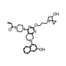 C=CC(=O)N1CCN(c2nc(OCCCN3CC(O)C34CC4)nc3c2CCN(c2cc(O)cc4ccccc24)C3)CC1